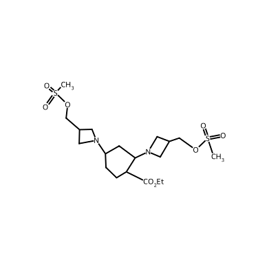 CCOC(=O)C1CCC(N2CC(COS(C)(=O)=O)C2)CC1N1CC(COS(C)(=O)=O)C1